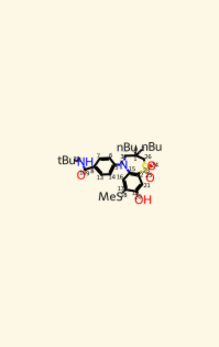 CCCCC1(CCCC)CN(c2ccc(C(=O)NC(C)(C)C)cc2)c2cc(SC)c(O)cc2S(=O)(=O)C1